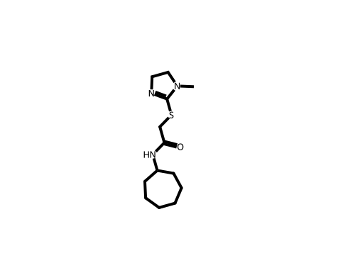 CN1CCN=C1SCC(=O)NC1CCCCCC1